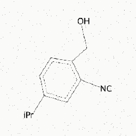 [C-]#[N+]c1cc(C(C)C)ccc1CO